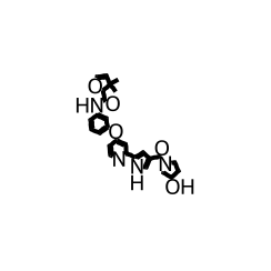 CC1(C)C=COC1C(=O)Nc1cccc(Oc2ccnc(-c3cc(C(=O)N4CC[C@H](O)C4)c[nH]3)c2)c1